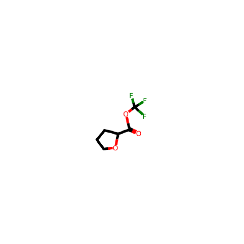 O=C(OC(F)(F)F)C1CCCO1